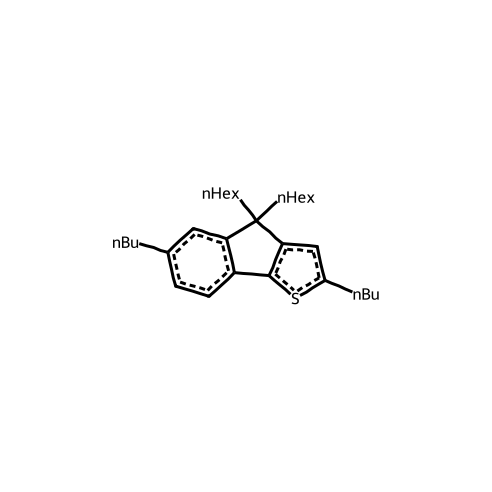 CCCCCCC1(CCCCCC)c2cc(CCCC)ccc2-c2sc(CCCC)cc21